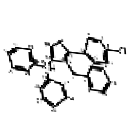 Cc1ccc(C2=C(Cc3ccccc3)C([SiH](c3ccccc3)c3ccccc3)=CC2)cc1